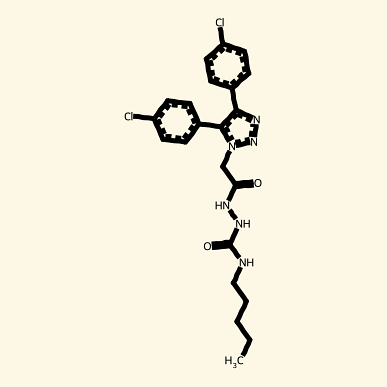 CCCCCNC(=O)NNC(=O)Cn1nnc(-c2ccc(Cl)cc2)c1-c1ccc(Cl)cc1